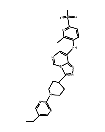 CCc1cnc(N2CCC(c3nnc4c(Nc5ccc(S(C)(=O)=O)nc5C)cncn34)CC2)nc1